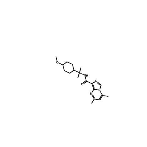 COC1CCC(C(C)(C)NC(=O)c2ncn3c(C)cc(C)nc23)CC1